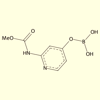 COC(=O)Nc1cc(OB(O)O)ccn1